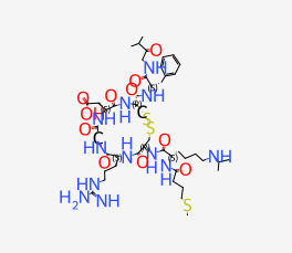 CSCCCC(=O)N[C@@H](CCCCNC(C)C)C(=O)N[C@H]1CSSC[C@@H](C(=O)N[C@@H](Cc2ccccc2)C(=O)NCC(=O)C(C)C)NC(=O)[C@H](CC(=O)O)NC(=O)CNC(=O)[C@H](CCCNC(=N)N)NC1=O